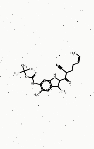 C/C=C\CCC(C#N)C(=O)C1Nc2cc(NC(=O)OC(C)(C)C)c(C)cc2C1C